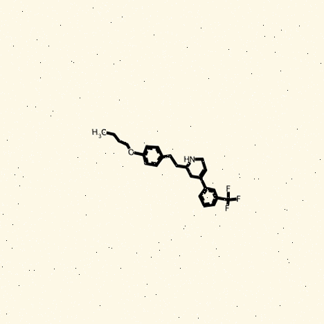 CCCCOc1ccc(CCC2CC(c3cccc(C(F)(F)F)c3)=CCN2)cc1